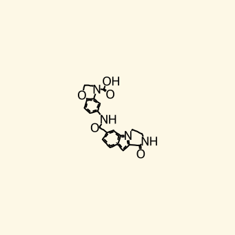 O=C(Nc1ccc2c(c1)N(C(=O)O)CCO2)c1ccc2cc3n(c2c1)CCNC3=O